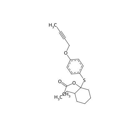 CC#CCOc1ccc(SC2(OC(C)=O)CCCCC2CC)cc1